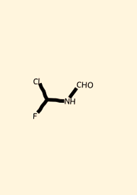 O=CNC(F)Cl